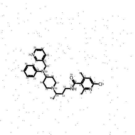 Cc1cc(Cl)nc(C)c1C(=O)NCC[C@@H](C)N1CCC(N(Cc2cccnc2)c2ccccc2)CC1